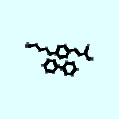 O=C(O)C=Cc1ccc(OCCCO)cc1.c1ccc(-c2ccccc2)cc1